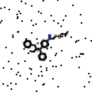 CCCOCCNc1ccc(/C(=C(/CC)Cc2ccccc2)c2ccccc2)cc1